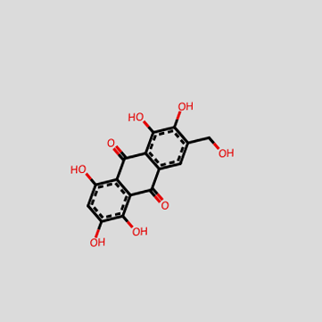 O=C1c2c(cc(CO)c(O)c2O)C(=O)c2c(O)c(O)cc(O)c21